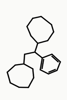 c1ccc(C(CC2CCCCCCC2)C2CCCCCCC2)cc1